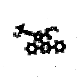 COC(=O)c1sc(C#CC2(C)CC2)cc1N(CC(=O)N1CCOCC1)C(=O)C1CCCCC1